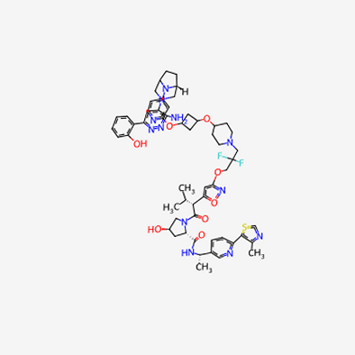 Cc1ncsc1-c1ccc([C@H](C)NC(=O)[C@@H]2C[C@@H](O)CN2C(=O)[C@@H](c2cc(OCC(F)(F)CN3CCC(OC4CC(Oc5cc(N6C7CC[C@@H]6CN(c6cc(-c8ccccc8O)nnc6N)C7)ccn5)C4)CC3)no2)C(C)C)cn1